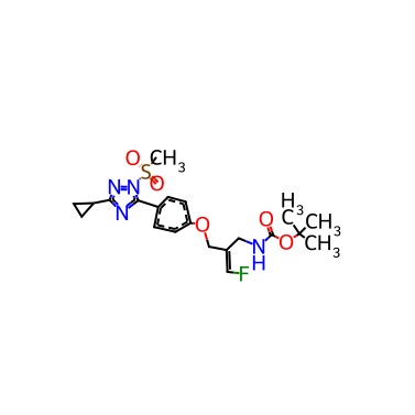 CC(C)(C)OC(=O)NC/C(=C\F)COc1ccc(-c2nc(C3CC3)nn2S(C)(=O)=O)cc1